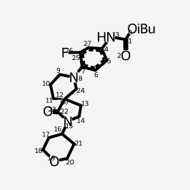 CC(C)COC(=O)Nc1ccc(N2CCC[C@]3(CCN(C4CCOCC4)C3=O)C2)c(F)c1